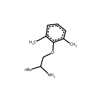 CCCCC(N)COc1c(C)cccc1C